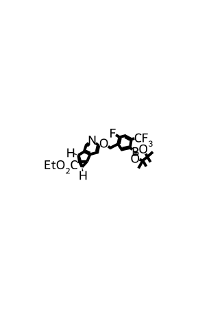 CCOC(=O)[C@@]12C3c4cc(OCc5cc(B6OC(C)(C)C(C)(C)O6)c(C(F)(F)F)cc5F)ncc4[C@H]1[C@@H]32